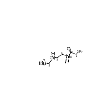 CC(C)CC(=O)NCCNCC(C)(C)C